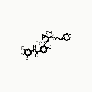 CC1CC1(C)C(COCCN1CCOCC1)CSc1cc(C(=O)Nc2cc(F)c(F)c(F)c2)ccc1Cl